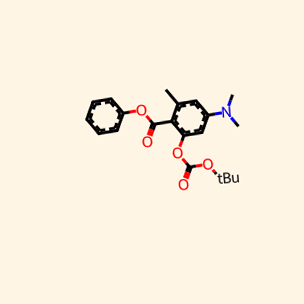 Cc1cc(N(C)C)cc(OC(=O)OC(C)(C)C)c1C(=O)Oc1ccccc1